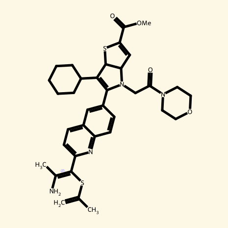 C=C(C)S/C(=C(/C)N)c1ccc2cc(C3=C(C4CCCCC4)C4SC(C(=O)OC)=CC4N3CC(=O)N3CCOCC3)ccc2n1